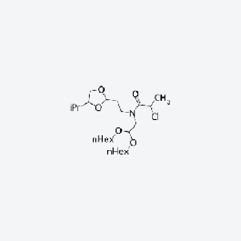 CCCCCCOC(CN(CCC1OCC(C(C)C)O1)C(=O)C(C)Cl)OCCCCCC